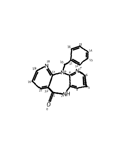 O=C1Nc2cccnc2N(Cc2ccccc2)c2ncccc21